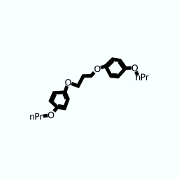 CCCOc1ccc(OCCCOc2ccc(OCCC)cc2)cc1